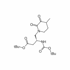 CC1CCN(C[C@H](CC(=O)OC(C)(C)C)NC(=O)OC(C)(C)C)C(=O)C1=O